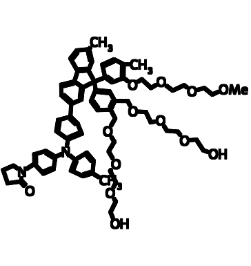 COCCOCCOCCOc1cc(C2(c3ccc(COCCOCCOCCO)c(COCCOCCOCCO)c3)c3cc(C)ccc3-c3ccc(-c4ccc(N(c5ccc(C)cc5)c5ccc(N6CCCC6=O)cc5)cc4)cc32)ccc1C